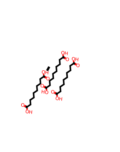 C=C.O=C(O)CCCCCCCCC(=O)O.O=C(O)CCCCCCCCC(=O)O.O=C(O)CCCCCCCCC(=O)O